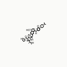 CN[C@@H](C)C(=O)N[C@H](C(=O)NC(=O)[C@@H]1CCCN1)C(C)(C)Cc1cc2c(Nc3ccc(N4CCN(C(C)C)CC4)c(Cl)c3)ncnc2cc1OC.Cl